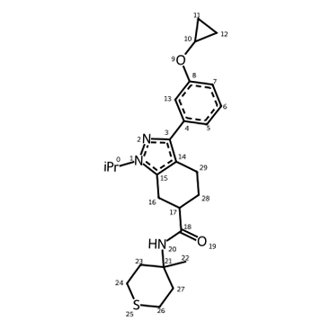 CC(C)n1nc(-c2cccc(OC3CC3)c2)c2c1CC(C(=O)NC1(C)CCSCC1)CC2